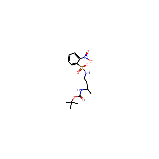 CC(CCNS(=O)(=O)c1ccccc1[N+](=O)[O-])NC(=O)OC(C)(C)C